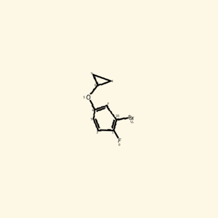 Fc1c[c]c(OC2CC2)cc1Br